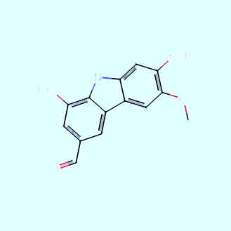 COc1cc2c(cc1O)[nH]c1c(O)cc(C=O)cc12